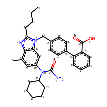 CCCCc1nc2c(C)cc(N(C(N)=O)C3CCCCC3)cc2n1Cc1ccc(-c2ccccc2C(=O)O)cc1